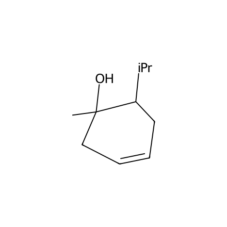 CC(C)C1CC=CCC1(C)O